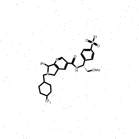 CCS(=O)(=O)c1ccc([C@H](COC)NC(=O)c2cnc3c(c2)CN(CC2CCC(C(F)(F)F)CC2)C3C(C)C)cc1